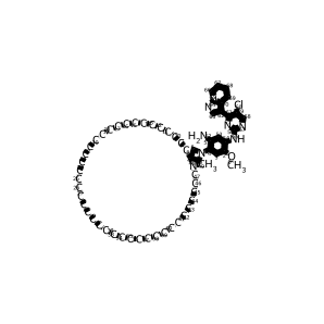 COc1cc(N2CC3(CCCCCCCCCCCCCCCCCCCCCCCCCCCCCCCCCCCCCCCCN3C)C2)c(N)cc1Nc1ncc(Cl)c(-c2cnn3ccccc23)n1